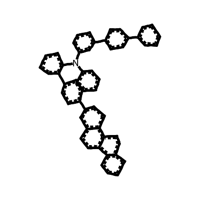 c1ccc(-c2ccc(-c3cccc(N(c4ccccc4)c4ccccc4-c4ccc(-c5ccc6c(ccc7c8ccccc8ccc67)c5)cc4)c3)cc2)cc1